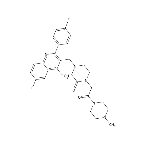 CN1CCN(C(=O)CN2CCN(Cc3c(-c4ccc(F)cc4)nc4ccc(F)cc4c3C(=O)O)CC2=O)CC1